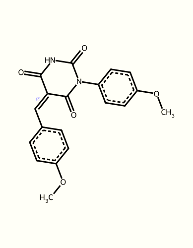 COc1ccc(/C=C2/C(=O)NC(=O)N(c3ccc(OC)cc3)C2=O)cc1